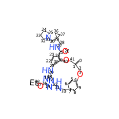 C=C1COc2ccc(cc2)CNc2nc(nc(OCC)n2)Nc2ccc(C(=O)NCC3(CN4CCCC4)CC3)c(c2)OC1